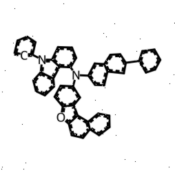 c1ccc(-c2ccc3cc(N(c4ccc5oc6ccc7ccccc7c6c5c4)c4cccc5c4c4ccccc4n5-c4ccccc4)ccc3c2)cc1